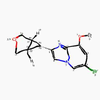 CCOc1cc(Br)cn2cc([C@@H]3[C@@H]4COC[C@@H]43)nc12